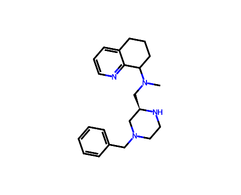 CN(C[C@@H]1CN(Cc2ccccc2)CCN1)C1CCCc2cccnc21